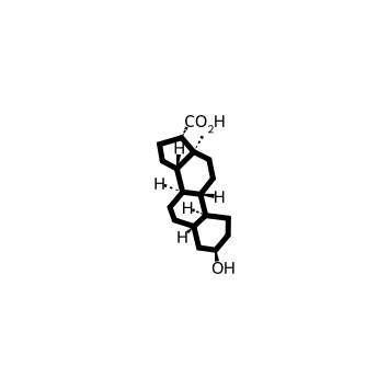 C[C@]12CC[C@H]3[C@@H](CC[C@@H]4C[C@H](O)CC[C@@H]43)[C@@H]1CC[C@@H]2C(=O)O